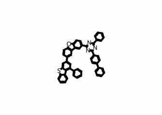 c1ccc(-c2ccc(-c3nc(-c4ccccc4)nc(-c4ccc5oc6ccc(-c7cc(-c8ccccc8)c8c(c7)sc7ccccc78)cc6c5c4)n3)cc2)cc1